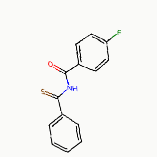 O=C(NC(=S)c1ccccc1)c1ccc(F)cc1